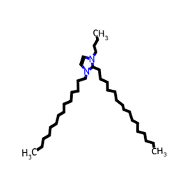 CCCCCCCCCCCCCCCCC1N(CCCC)C=CN1CCCCCCCCCCCCCC